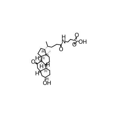 CC(CCC(=O)NCCS(=O)(=O)O)[C@H]1CC[C@H]2[C@@H]3C(=O)C[C@@H]4C[C@H](O)CC[C@]4(C)[C@H]3CC[C@]12C